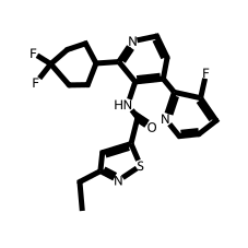 CCc1cc(C(=O)Nc2c(-c3ncccc3F)ccnc2C2CCC(F)(F)CC2)sn1